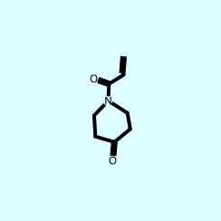 C=CC(=O)N1CCC(=O)CC1